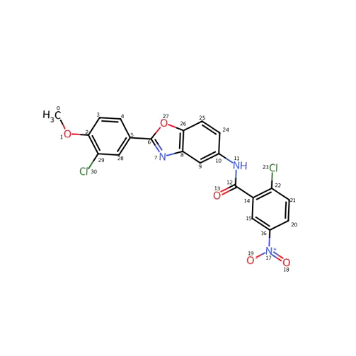 COc1ccc(-c2nc3cc(NC(=O)c4cc([N+](=O)[O-])ccc4Cl)ccc3o2)cc1Cl